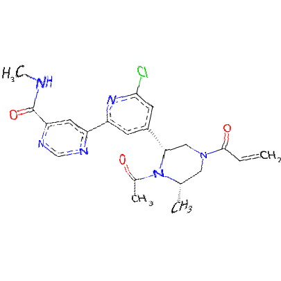 C=CC(=O)N1C[C@H](C)N(C(C)=O)[C@H](c2cc(Cl)nc(-c3cc(C(=O)NC)ncn3)c2)C1